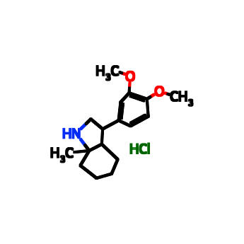 COc1ccc(C2CNC3(C)CCCCC23)cc1OC.Cl